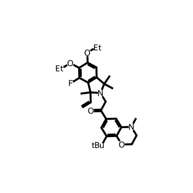 C=CC1(C)c2c(cc(OCC)c(OCC)c2F)C(C)(C)N1CC(=O)c1cc2c(c(C(C)(C)C)c1)OCCN2C